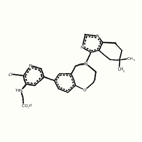 CC1(C)CCc2ncnc(N3CCOc4ccc(-c5cnc(Cl)c(NC(=O)O)c5)cc4C3)c2C1